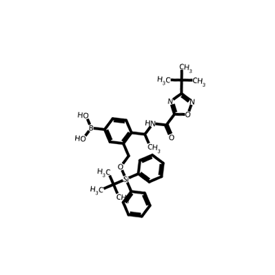 CC(NC(=O)c1nc(C(C)(C)C)no1)c1ccc(B(O)O)cc1CO[Si](c1ccccc1)(c1ccccc1)C(C)(C)C